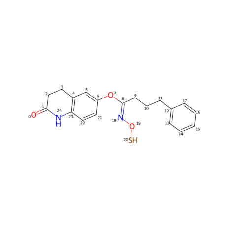 O=C1CCc2cc(OC(CCCc3ccccc3)=NOS)ccc2N1